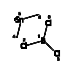 ClB(Cl)Cl.[CH3][Sn][CH3]